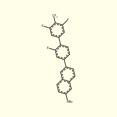 CCCCc1ccc2cc(-c3ccc(-c4cc(F)c(C(F)(F)F)c(F)c4)c(F)c3)ccc2c1